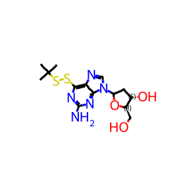 CC(C)(C)SSc1nc(N)nc2c1ncn2C1C[C@H](O)[C@@H](CO)O1